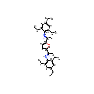 CCc1cc(CC)c(/N=C(\C)c2ccc(/C(C)=N/c3c(CC)cc(CC)cc3CC)o2)c(CC)c1